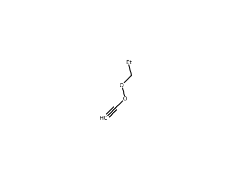 C#COOCCC